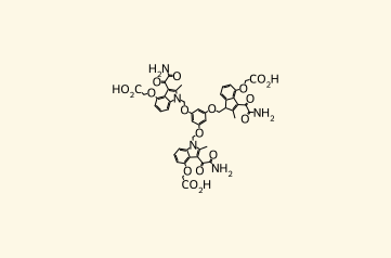 CC1=C(C(=O)C(N)=O)c2c(OCC(=O)O)cccc2C1COc1cc(OCn2c(C)c(C(=O)C(N)=O)c3c(OCC(=O)O)cccc32)cc(OCn2c(C)c(C(=O)C(N)=O)c3c(OCC(=O)O)cccc32)c1